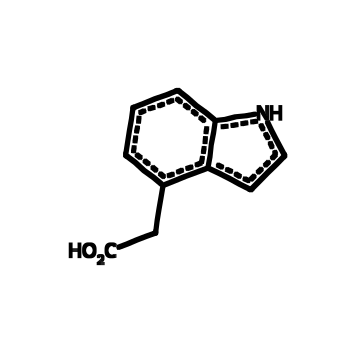 O=C(O)Cc1cccc2[nH]ccc12